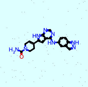 NC(=O)N1CC=C(c2cc3c(Nc4ccc5[nH]ncc5c4)ncnc3[nH]2)CC1